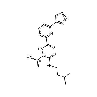 CC(C)CCNC(=O)[C@@H](NC(=O)c1cccc(-c2cccs2)n1)[C@@H](C)O